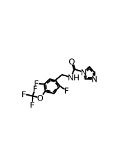 O=C(NCc1cc(F)c(OC(F)(F)F)cc1F)n1ccnc1